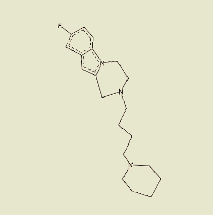 Fc1ccc2c(c1)cc1n2CCN(CCCCN2CCCCC2)C1